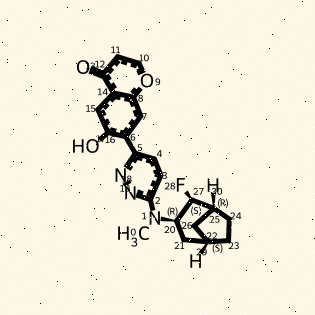 CN(c1ccc(-c2cc3occc(=O)c3cc2O)nn1)[C@@H]1C[C@H]2CC[C@H](C2)[C@@H]1F